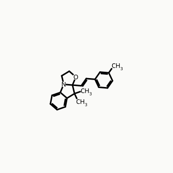 Cc1cccc(C=CC23OCCN2c2ccccc2C3(C)C)c1